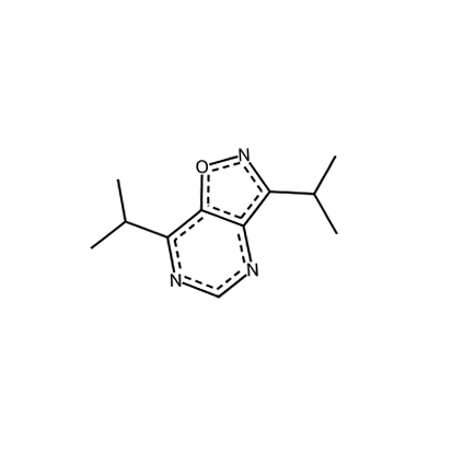 CC(C)c1noc2c(C(C)C)ncnc12